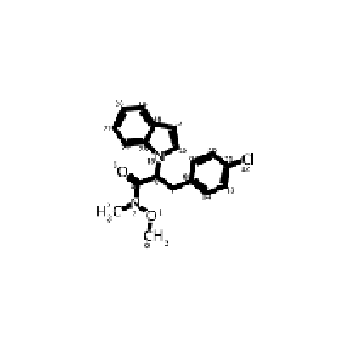 CON(C)C(=O)C(Cc1ccc(Cl)cc1)n1ccc2ccccc21